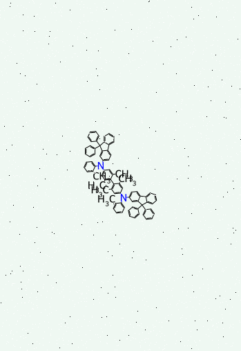 Cc1ccccc1N(c1cc(C)c(-c2c(C)cc(N(c3ccc4c(c3)C(c3ccccc3)(c3ccccc3)c3ccccc3-4)c3ccccc3C)cc2C)c(C)c1)c1ccc2c(c1)C(c1ccccc1)(c1ccccc1)c1ccccc1-2